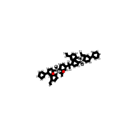 C=Cc1ccc(N(C(=C)C)P(=O)(c2ccc(-c3ccccc3)cc2)c2ccc(C(C)(C)c3ccc(P(=O)(c4ccc(-c5ccccc5)cc4)N(C(=C)C)c4ccc(C=C)cc4)cc3)cc2)cc1